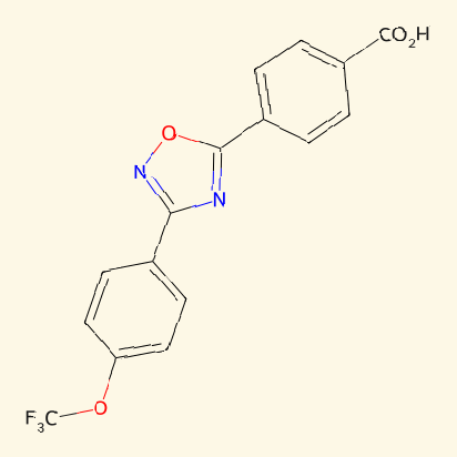 O=C(O)c1ccc(-c2nc(-c3ccc(OC(F)(F)F)cc3)no2)cc1